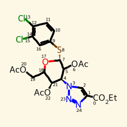 CCOC(=O)c1cn([C@@H]2C(OC(C)=O)[C@@H](Sc3ccc(Cl)c(Cl)c3)OC(COC(C)=O)[C@@H]2OC(C)=O)nn1